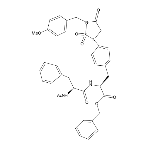 COc1ccc(CN2C(=O)CN(c3ccc(C[C@H](NC(=O)[C@H](Cc4ccccc4)NC(C)=O)C(=O)OCc4ccccc4)cc3)S2(=O)=O)cc1